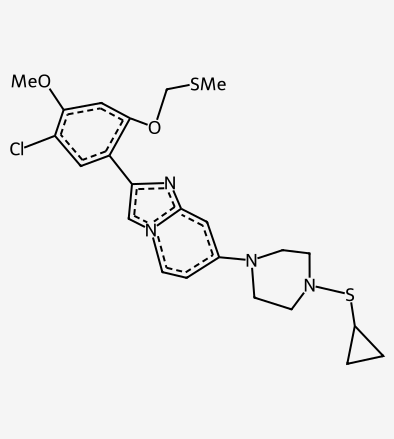 COc1cc(OCSC)c(-c2cn3ccc(N4CCN(SC5CC5)CC4)cc3n2)cc1Cl